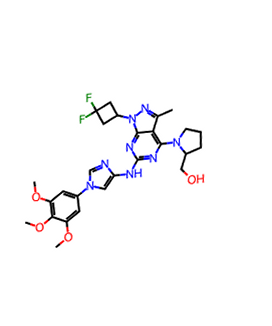 COc1cc(-n2cnc(Nc3nc(N4CCCC4CO)c4c(C)nn(C5CC(F)(F)C5)c4n3)c2)cc(OC)c1OC